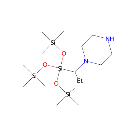 CCC(N1CCNCC1)[Si](O[Si](C)(C)C)(O[Si](C)(C)C)O[Si](C)(C)C